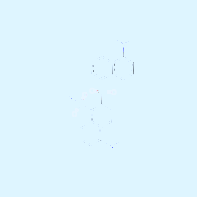 CN(C)c1cccc2c(S(=O)(=O)c3ccc4c(N(C)C)cccc4c3S([NH])(=O)=O)cccc12